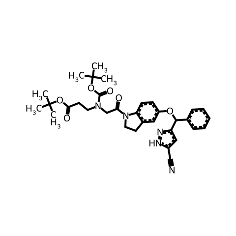 CC(C)(C)OC(=O)CCN(CC(=O)N1CCc2cc(OC(c3ccccc3)c3cc(C#N)[nH]n3)ccc21)C(=O)OC(C)(C)C